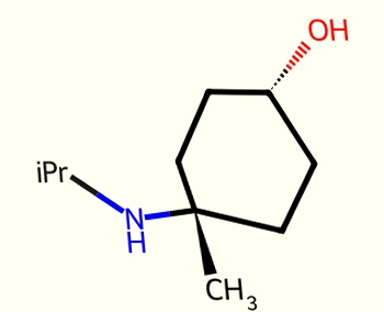 CC(C)N[C@]1(C)CC[C@H](O)CC1